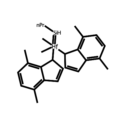 CCC[SiH]=[Hf]([CH3])([CH3])([CH]1C=Cc2c(C)ccc(C)c21)[CH]1C=Cc2c(C)ccc(C)c21